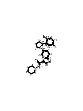 O=C(NN1CCCCC1)c1cnc2ccc(N3CCCC3c3cc(F)ccc3F)cn12